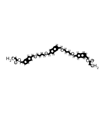 C=CC(=O)OCC1CC2CC1C1CC(COCCCCOCC3CC4C5CC(COCCCCOCC6CC7C8CC(COC(=O)C=C)C(C8)C7C6)C(C5)C4C3)CC21